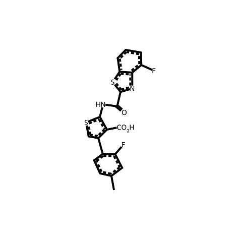 Cc1ccc(-c2csc(NC(=O)c3nc4c(F)cccc4s3)c2C(=O)O)c(F)c1